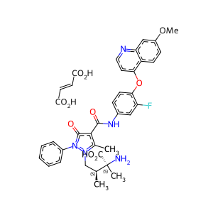 COc1ccc2c(Oc3ccc(NC(=O)c4c(C)n(C[C@H](C)[C@](C)(N)C(=O)O)n(-c5ccccc5)c4=O)cc3F)ccnc2c1.O=C(O)C=CC(=O)O